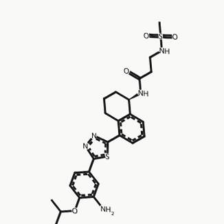 CC(C)Oc1ccc(-c2nnc(-c3cccc4c3CCC[C@H]4NC(=O)CCNS(C)(=O)=O)s2)cc1N